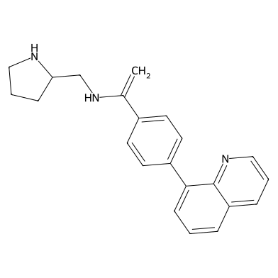 C=C(NCC1CCCN1)c1ccc(-c2cccc3cccnc23)cc1